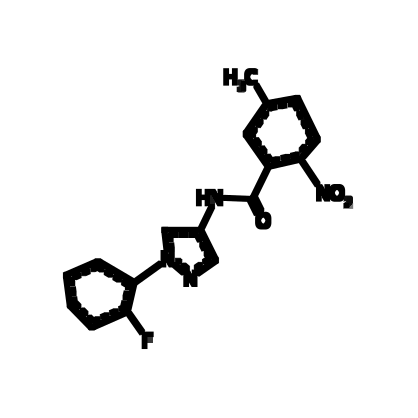 Cc1ccc([N+](=O)[O-])c(C(=O)Nc2cnn(-c3ccccc3F)c2)c1